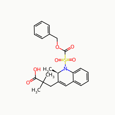 C[C@@H]1C(CC(C)(C)C(=O)O)=Cc2ccccc2N1S(=O)(=O)C(=O)OCc1ccccc1